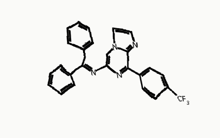 FC(F)(F)c1ccc(-c2nc(N=C(c3ccccc3)c3ccccc3)cn3ccnc23)cc1